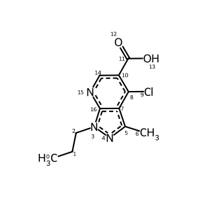 CCCn1nc(C)c2c(Cl)c(C(=O)O)cnc21